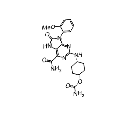 COc1ccccc1-n1c(=O)[nH]c2c(C(N)=O)nc(N[C@H]3CC[C@@H](OC(N)=O)CC3)nc21